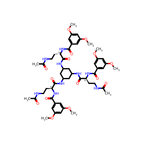 COc1cc(OC)cc(C(=O)N[C@@H](CCNC(C)=O)C(=O)NC2CC(NC(=O)[C@H](CCNC(C)=O)NC(=O)c3cc(OC)cc(OC)c3)CC(NC(=O)[C@H](CCNC(C)=O)NC(=O)c3cc(OC)cc(OC)c3)C2)c1